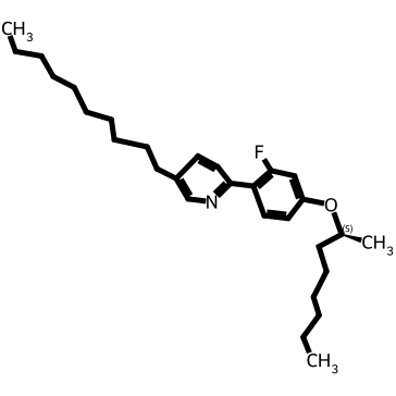 CCCCCCCCCCc1ccc(-c2ccc(O[C@@H](C)CCCCCC)cc2F)nc1